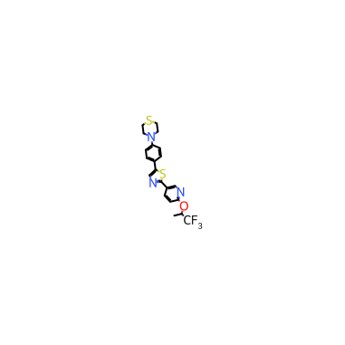 CC(Oc1ccc(-c2ncc(-c3ccc(N4CCSCC4)cc3)s2)cn1)C(F)(F)F